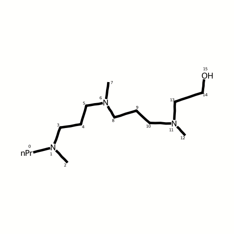 CCCN(C)CCCN(C)CCCN(C)CCO